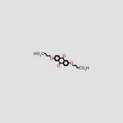 O=C(O)CCCOc1ccc2c(c1)C(=O)c1ccc(OCCCC(=O)O)cc1C2=O